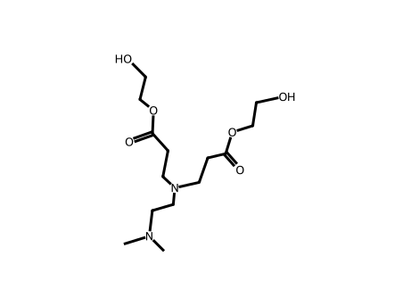 CN(C)CCN(CCC(=O)OCCO)CCC(=O)OCCO